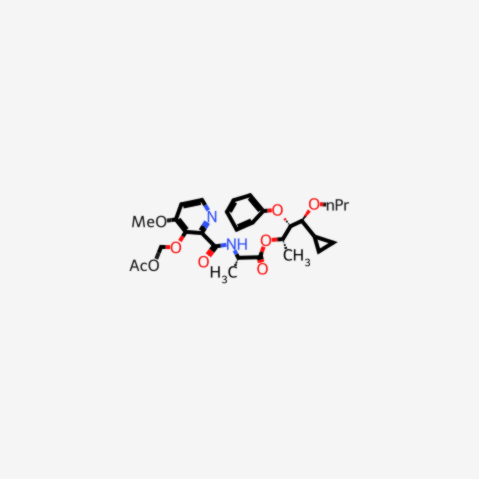 CCCO[C@@H](C1CC1)[C@@H](Oc1ccccc1)[C@H](C)OC(=O)[C@H](C)NC(=O)c1nccc(OC)c1OCOC(C)=O